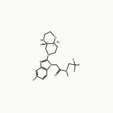 CN(CC(F)(F)F)C(=O)Cn1c(N2CC[C@@H]3OCCN[C@H]3C2)nc2cc(F)ccc21